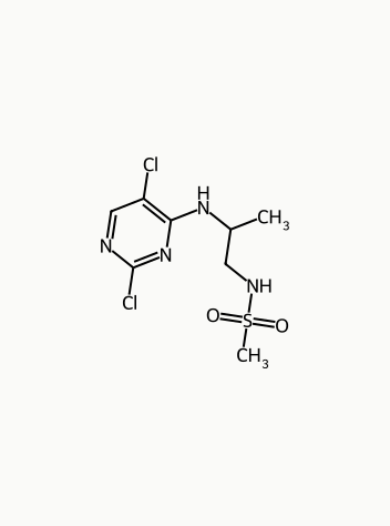 CC(CNS(C)(=O)=O)Nc1nc(Cl)ncc1Cl